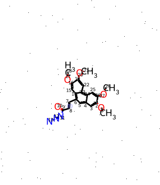 COc1cc2cc(/C=C/C(=O)N=[N+]=[N-])c3cc(OC)c(OC)cc3c2cc1OC